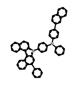 c1ccc(-c2cc3c(c4ccccc24)c2c4ccccc4ccc2n3-c2ccc(N(c3ccccc3)c3ccc(-c4ccc5ccccc5c4)cc3)cc2)cc1